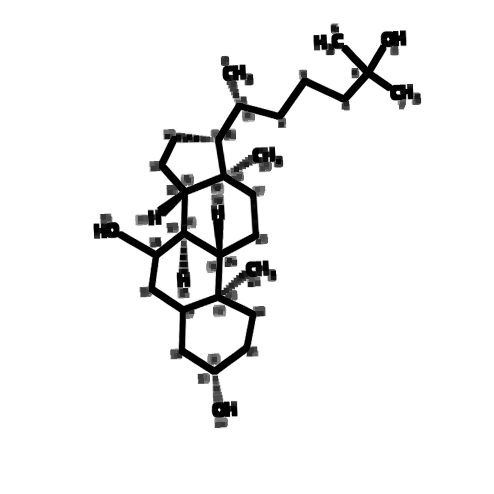 C[C@H](CCCC(C)(C)O)[C@H]1CC[C@H]2[C@@H]3C(O)CC4C[C@@H](O)CC[C@]4(C)[C@H]3CC[C@]12C